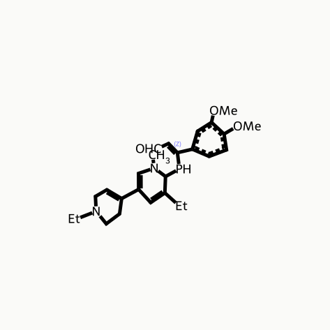 CCC1=CC(C2=CCN(CC)CC2)=CN(C)C1P/C(=C\C=O)c1ccc(OC)c(OC)c1